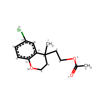 CC(=O)OCCC1(C)CCOc2ccc(Br)cc21